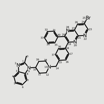 Cc1nc2ccccc2n1C1CCN(Cc2ccc(-c3nc4ncc(Br)cc4nc3-c3ccccc3)cc2)CC1